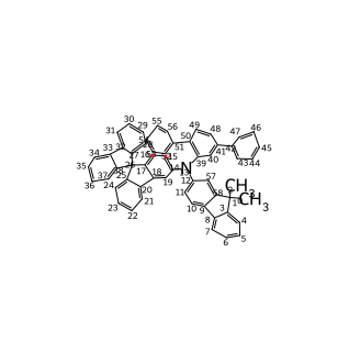 CC1(C)c2ccccc2-c2ccc(N(c3ccc4c(c3)-c3ccccc3C43c4ccccc4-c4ccccc43)c3cc(-c4ccccc4)ccc3-c3ccccc3)cc21